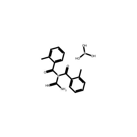 Cc1ccccc1C(=O)N(C(=N)N)C(=O)c1ccccc1C.OB(O)O